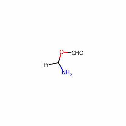 CC(C)C(N)OC=O